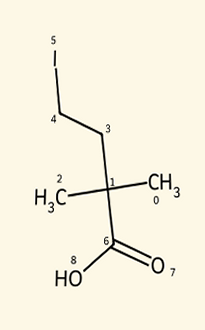 CC(C)(CCI)C(=O)O